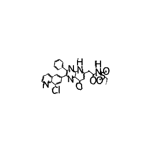 CCS(=O)(=O)NC(=O)Cc1cc(=O)c2nc(-c3cc(Cl)c4ncccc4c3)c(-c3ccccc3)nc2[nH]1